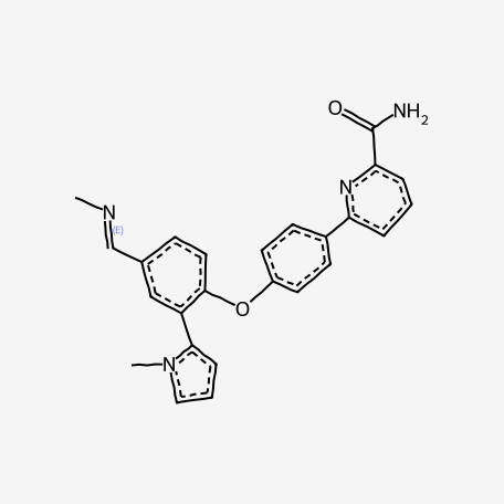 C/N=C/c1ccc(Oc2ccc(-c3cccc(C(N)=O)n3)cc2)c(-c2cccn2C)c1